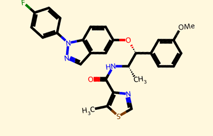 COc1cccc([C@@H](Oc2ccc3c(cnn3-c3ccc(F)cc3)c2)[C@H](C)NC(=O)c2ncsc2C)c1